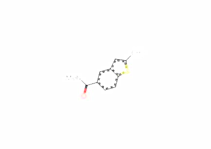 [CH2]c1cc2cc(C(=O)NC)ccc2s1